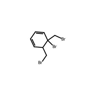 BrCC1C=CC=CC1(Br)CBr